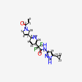 C=CC(=O)N1CC=C(c2ccc(C(F)(F)C(=O)Nc3cc(C4CC4)[nH]n3)cn2)C1